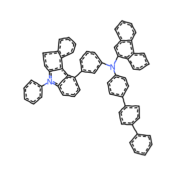 c1ccc(-c2ccc(-c3ccc(N(c4cccc(-c5cccc6c5c5c7ccccc7ccc5n6-c5ccccc5)c4)c4cc5ccccc5c5ccccc45)cc3)cc2)cc1